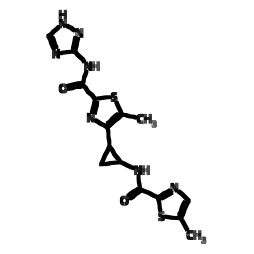 Cc1cnc(C(=O)NC2CC2c2nc(C(=O)Nc3nc[nH]n3)sc2C)s1